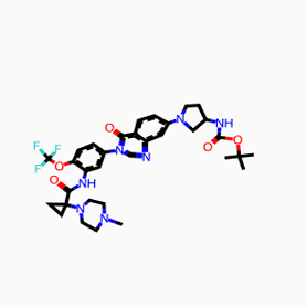 CN1CCN(C2(C(=O)Nc3cc(-n4cnc5cc(N6CCC(NC(=O)OC(C)(C)C)C6)ccc5c4=O)ccc3OC(F)(F)F)CC2)CC1